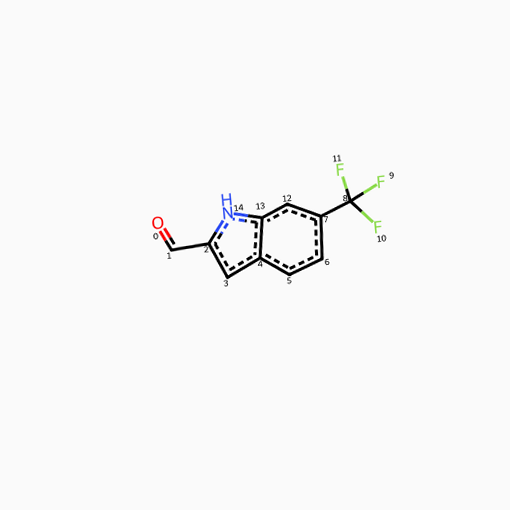 O=Cc1cc2ccc(C(F)(F)F)cc2[nH]1